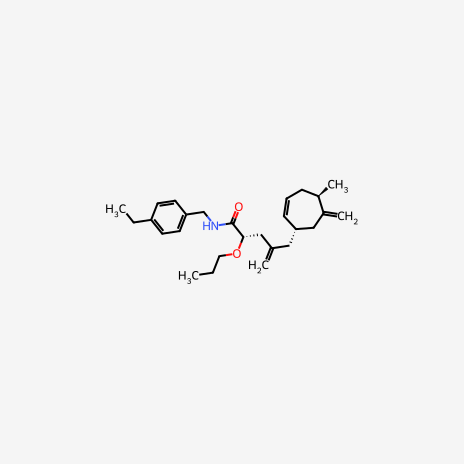 C=C(C[C@@H]1C=CC[C@@H](C)C(=C)C1)C[C@H](OCCC)C(=O)NCc1ccc(CC)cc1